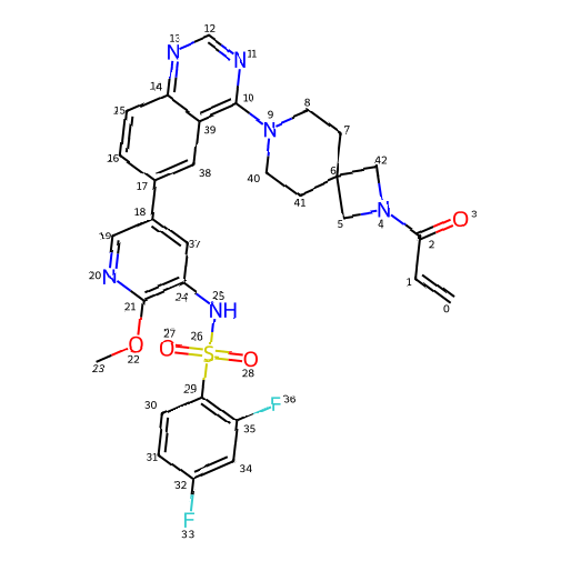 C=CC(=O)N1CC2(CCN(c3ncnc4ccc(-c5cnc(OC)c(NS(=O)(=O)c6ccc(F)cc6F)c5)cc34)CC2)C1